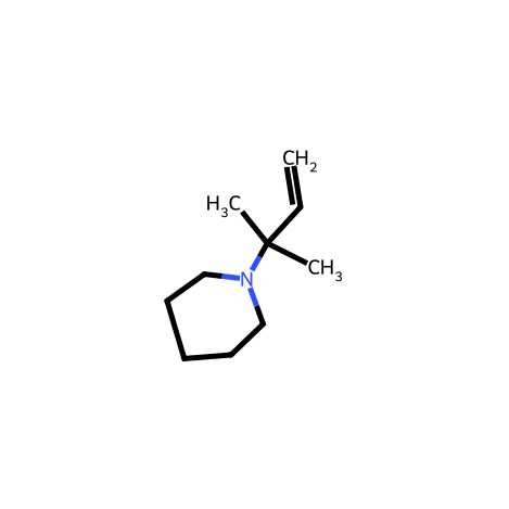 C=CC(C)(C)N1CCCCC1